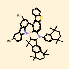 CC(C)(C)c1ccc2c(c1)c1cc(C(C)(C)C)cc3c1n2B1C2=C(c4cc5c(cc4C2(C)C)C(C)(C)CCC5(C)C)N(c2ccc4c(c2)C(C)(C)CCC4(C)C)c2cc4sc5ccccc5c4c-3c21